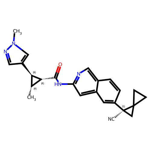 C[C@H]1[C@@H](C(=O)Nc2cc3cc([C@]4(C#N)CC45CC5)ccc3cn2)[C@@H]1c1cnn(C)c1